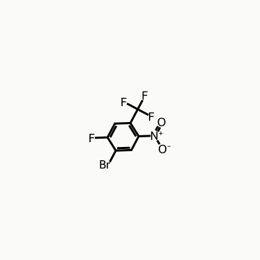 O=[N+]([O-])c1cc(Br)c(F)cc1C(F)(F)F